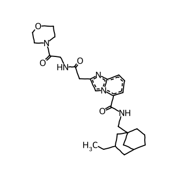 CCC1CC2CCCC(CNC(=O)c3cccc4nc(CC(=O)NCC(=O)N5CCOCC5)cn34)(C1)C2